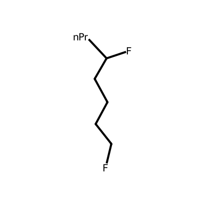 CCCC(F)CCCCF